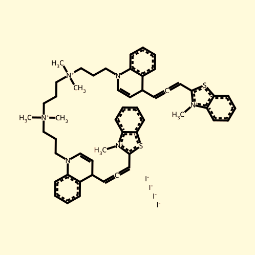 C[n+]1c(C=C=CC2C=CN(CCC[N+](C)(C)CCC[N+](C)(C)CCCN3C=CC(C=C=Cc4sc5ccccc5[n+]4C)c4ccccc43)c3ccccc32)sc2ccccc21.[I-].[I-].[I-].[I-]